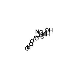 N#C/C(=C\c1ccc(-c2ccc3cc(N4CCCCC4)ccc3c2)o1)S(=O)(=O)NCCO